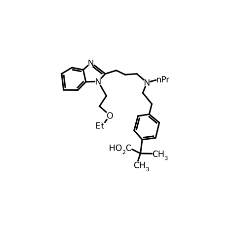 CCCN(CCCc1nc2ccccc2n1CCOCC)CCc1ccc(C(C)(C)C(=O)O)cc1